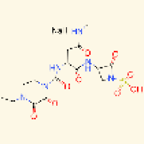 CCN1CCN(C(=O)NC(CC(=O)NC)C(=O)NC2CN(S(=O)(=O)O)C2=O)C(=O)C1=O.[NaH]